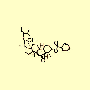 CC[C@H](C[C@@H](O)[C@@H](C)[C@H]1CC[C@H]2C3=CC(=O)[C@H]4[C@H](C)[C@@H](OC(=O)c5ccccc5)CC[C@]4(C)[C@H]3CC[C@]12C)C(C)C